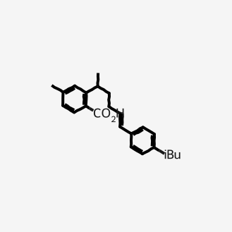 CCC(C)c1ccc(C=CCCC(C)c2cc(C)ccc2C(=O)O)cc1